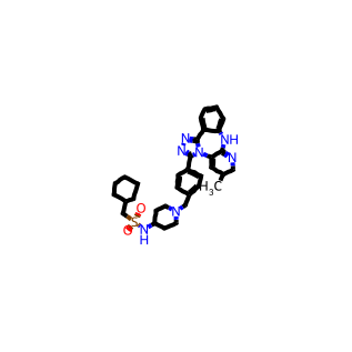 CC1C=C2C(=NC1)Nc1ccccc1-c1nnc(-c3ccc(CN4CCC(NS(=O)(=O)CC5CCCCC5)CC4)cc3)n12